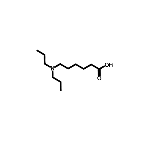 CCCN(CCC)CCCCCC(=O)O